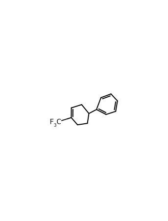 FC(F)(F)C1=CCC(c2ccccc2)CC1